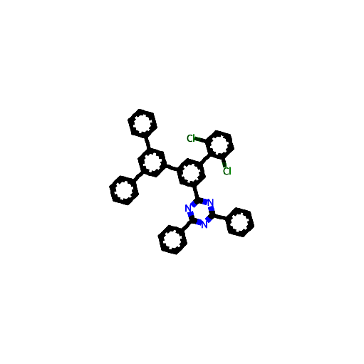 Clc1cccc(Cl)c1-c1cc(-c2cc(-c3ccccc3)cc(-c3ccccc3)c2)cc(-c2nc(-c3ccccc3)nc(-c3ccccc3)n2)c1